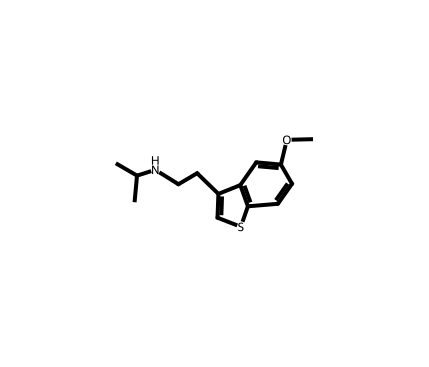 COc1ccc2scc(CCNC(C)C)c2c1